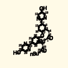 CCCC[C@@H]1O[C@H]1Cc1cc(-c2ncc(O)cn2)ccc1Oc1ccc(-c2ncc(O)cn2)cc1C[C@@H]1O[C@H]1CCCC